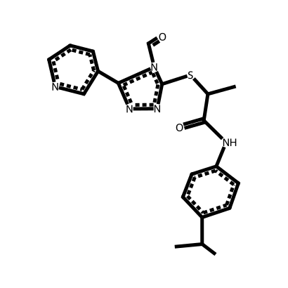 CC(Sc1nnc(-c2cccnc2)n1C=O)C(=O)Nc1ccc(C(C)C)cc1